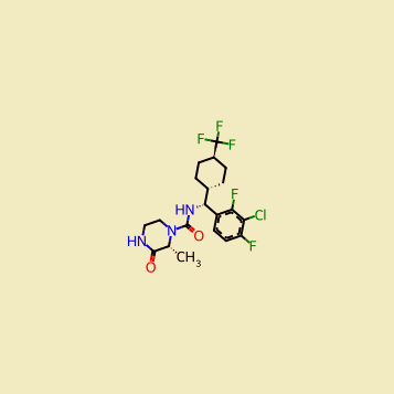 C[C@@H]1C(=O)NCCN1C(=O)N[C@@H](c1ccc(F)c(Cl)c1F)[C@H]1CC[C@H](C(F)(F)F)CC1